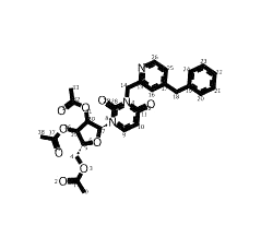 CC(=O)OC[C@H]1O[C@@H](n2ccc(=O)n(Cc3cc(Cc4ccccc4)ccn3)c2=O)C(OC(C)=O)C1OC(C)=O